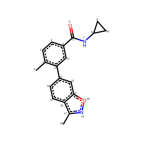 Cc1ccc(C(=O)NC2CC2)cc1-c1ccc2c(C)noc2c1